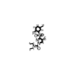 CCN(CC)C(=O)n1cc(F)c(S(=O)(=O)c2cc(C)ccc2F)n1